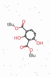 CC(C)(C)OC(=O)c1ccc(O)c(C(=O)OC(C)(C)C)c1O